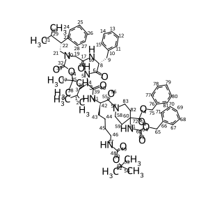 CC(C)C[C@@H](NC(=O)[C@@H](Cc1ccccc1)NC(=O)CN(C[C@@H](c1ccccc1)C(C)C)C(=O)OC(C)(C)C)C(=O)N[C@H](CCCCNC(=O)OC(C)(C)C)C(=O)N1CCC(NC(=O)OCc2ccccc2)(C(=O)OCc2ccccc2)CC1